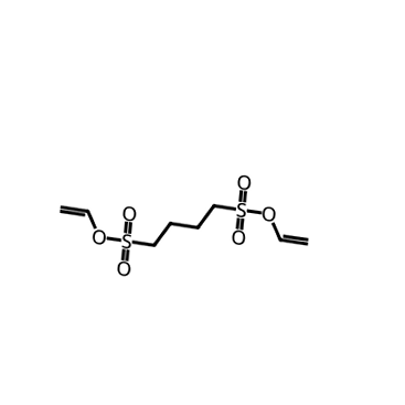 C=COS(=O)(=O)CCCCS(=O)(=O)OC=C